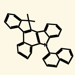 CC1(C)c2ccccc2-c2c1c1c3ccccc3n(-c3cccc4ccccc34)c1c1ccccc21